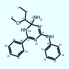 CCC(OC)C1(N)N=C(Nc2ccccc2)N=C(c2ccccc2)N1